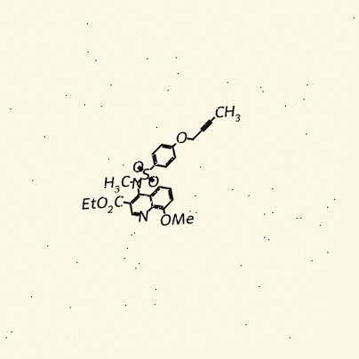 CC#CCOc1ccc(S(=O)(=O)N(C)c2c(C(=O)OCC)cnc3c(OC)cccc23)cc1